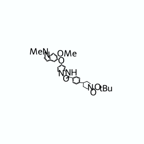 CNn1ccc2cc(Oc3ccnc(NC(=O)c4ccc(C5CCN(C(=O)OC(C)(C)C)CC5)cc4)c3)c(OC)cc21